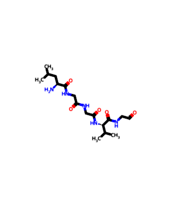 CC(C)C[C@H](N)C(=O)NCC(=O)NCC(=O)N[C@H](C(=O)NC[C]=O)C(C)C